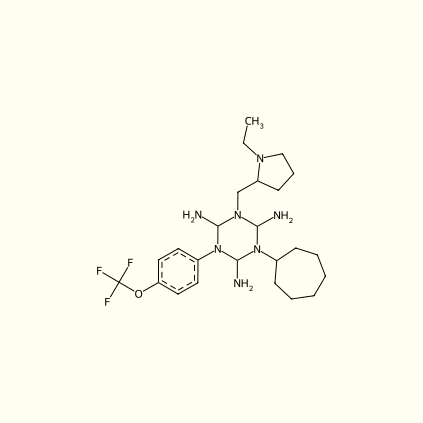 CCN1CCCC1CN1C(N)N(c2ccc(OC(F)(F)F)cc2)C(N)N(C2CCCCCC2)C1N